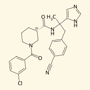 CC(Cc1ccc(C#N)cc1)(NC(=O)[C@H]1CCCN(C(=O)c2cccc(Cl)c2)C1)c1cnc[nH]1